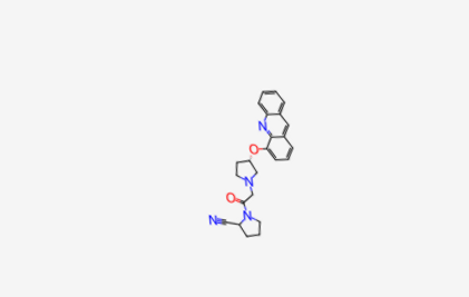 N#CC1CCCN1C(=O)CN1CC[C@H](Oc2cccc3cc4ccccc4nc23)C1